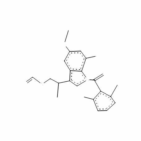 COc1cc(F)c2c(c1)c(C(C)CNC=O)cn2C(=O)c1c(C)cccc1C